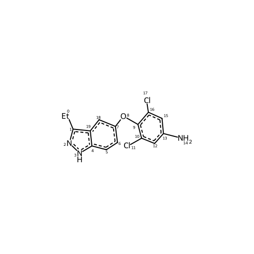 CCc1n[nH]c2ccc(Oc3c(Cl)cc(N)cc3Cl)cc12